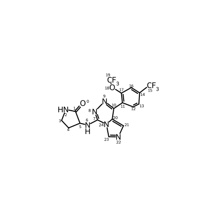 O=C1NCCC1Nc1nnc(-c2ccc(C(F)(F)F)cc2OC(F)(F)F)c2cncn12